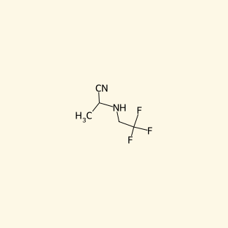 CC(C#N)NCC(F)(F)F